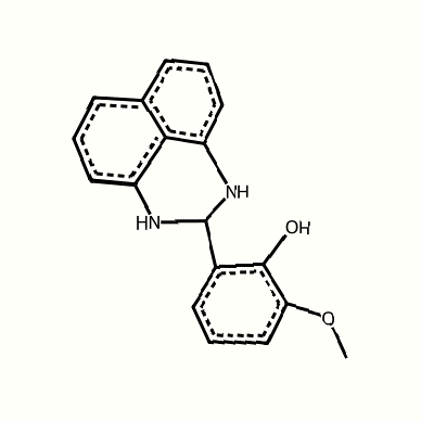 COc1cccc(C2Nc3cccc4cccc(c34)N2)c1O